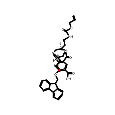 C=CCOC(=O)NCC[C@@H]1CN2Cc3ccc(C(=O)O)cc3C(=O)N1C[C@@H]2CNC(=O)OCC1c2ccccc2-c2ccccc21